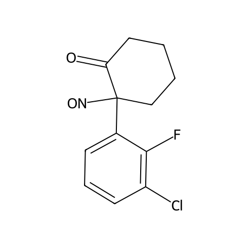 O=NC1(c2cccc(Cl)c2F)CCCCC1=O